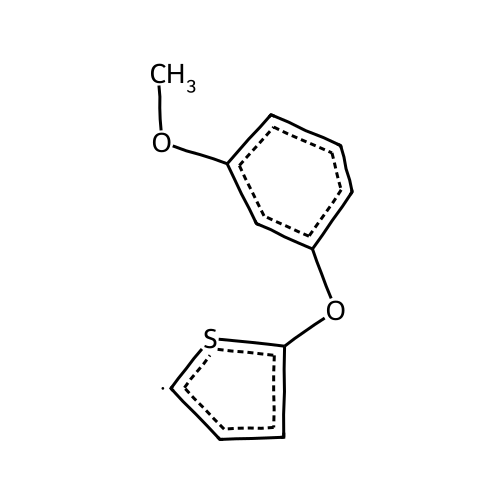 COc1cccc(Oc2cc[c]s2)c1